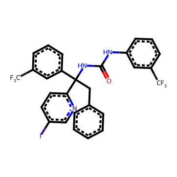 O=C(Nc1cccc(C(F)(F)F)c1)NC(Cc1ccccc1)(c1cccc(C(F)(F)F)c1)c1ccc(I)cn1